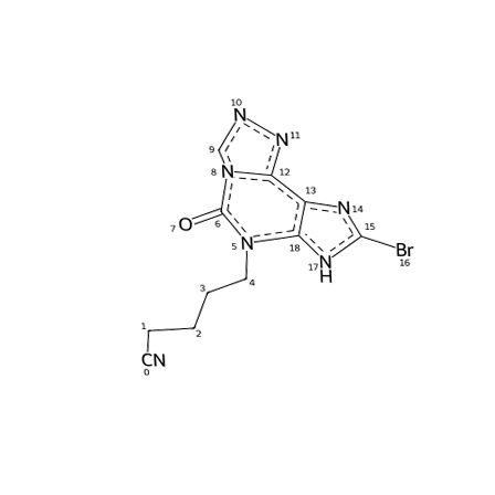 N#CCCCCn1c(=O)n2cnnc2c2nc(Br)[nH]c21